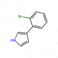 Brc1ccccc1-c1cc[nH]c1